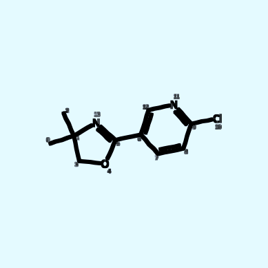 CC1(C)COC(c2ccc(Cl)nc2)=N1